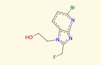 OCCn1c(CF)nc2nc(Br)ccc21